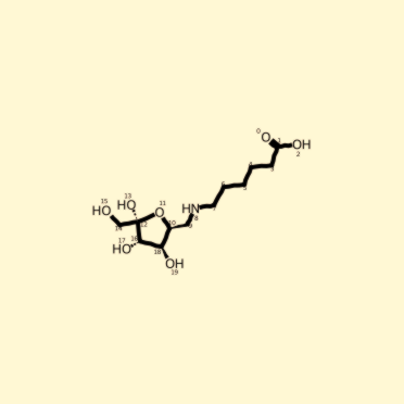 O=C(O)CCCCCNC[C@@H]1O[C@](O)(CO)[C@@H](O)[C@@H]1O